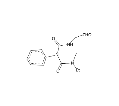 CCN(C)C(=O)N(C(=O)NC[C]=O)c1ccccc1